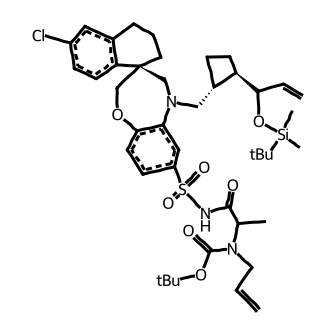 C=CCN(C(=O)OC(C)(C)C)C(C)C(=O)NS(=O)(=O)c1ccc2c(c1)N(C[C@@H]1CC[C@H]1C(C=C)O[Si](C)(C)C(C)(C)C)C[C@@]1(CCCc3cc(Cl)ccc31)CO2